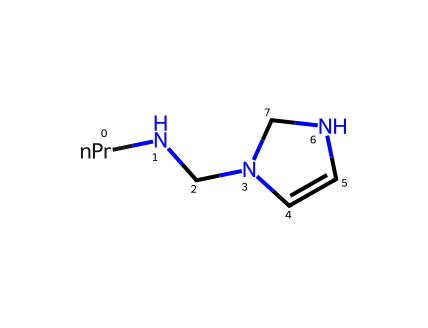 CCCNCN1C=CNC1